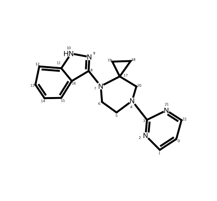 c1cnc(N2CCN(c3n[nH]c4ccccc34)C3(CC3)C2)nc1